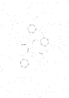 CCNc1ccc(NC(=O)CN(C)C)cc1N=C1SC(=C2Sc3ccc(OC)cc3N2C)C(=O)N1Cc1ccccc1